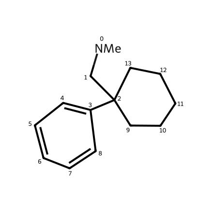 CNCC1(c2ccccc2)CCCCC1